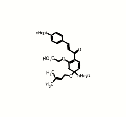 CCCCCCCc1ccc(C=CC(=O)C2=C(OCC(=O)O)CC(CCCCCCC)(OCC=C(C)C)C=C2)cc1